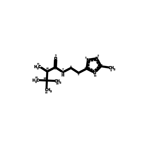 Cc1nnc(CCNC(=O)C(C)C(C)(C)C)o1